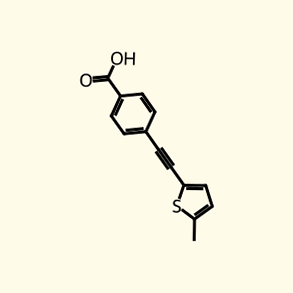 Cc1ccc(C#Cc2ccc(C(=O)O)cc2)s1